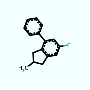 CC1Cc2cc(Cl)cc(-c3ccccc3)c2C1